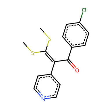 CSC(SC)=C(C(=O)c1ccc(Cl)cc1)c1ccncc1